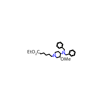 CCOC(=O)CCCCCN1CC[C@@H](N(Cc2ccccc2)Cc2ccccc2)C(OC)C1